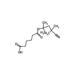 CC(C)(C#N)CC(C)(C)OC(=O)CCCCC(=O)O